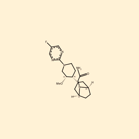 CO[C@@H]1CN(c2ncc(F)cn2)CC[C@@H]1C1C[C@H]2CC[C@@H](C1)N2CC(N)=O